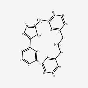 c1ccc(-c2cnc(Nc3cc(CNCc4cccnc4)ccn3)s2)cc1